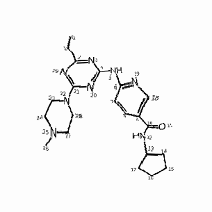 CCc1nc(Nc2ccc(C(=O)NC3CCCC3)cn2)nc(N2CCN(C)CC2)n1